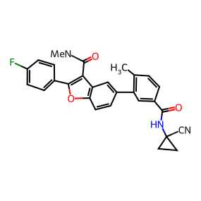 CNC(=O)c1c(-c2ccc(F)cc2)oc2ccc(-c3cc(C(=O)NC4(C#N)CC4)ccc3C)cc12